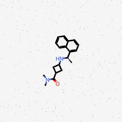 C[C@@H](NC1CC(C(=O)N(C)C)C1)c1cccc2ccccc12